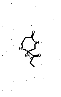 CCC(=O)C1(N)CNC(=O)CCN1